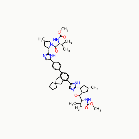 COC(=O)N[C@H](C(=O)C1C[C@@H](C)C[C@H]1c1ncc(-c2ccc(-c3ccc(-c4cnc([C@@H]5C[C@H](C)CN5C(=O)[C@@H](NC(=O)OC)C(C)C)[nH]4)cc3)c3c2CC2(CCCC2)C3)[nH]1)C(C)C